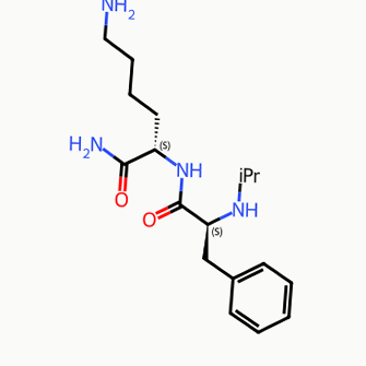 CC(C)N[C@@H](Cc1ccccc1)C(=O)N[C@@H](CCCCN)C(N)=O